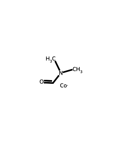 CN(C)C=O.[Co]